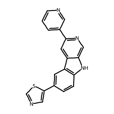 c1cncc(-c2cc3c(cn2)[nH]c2ccc(-c4cncs4)cc23)c1